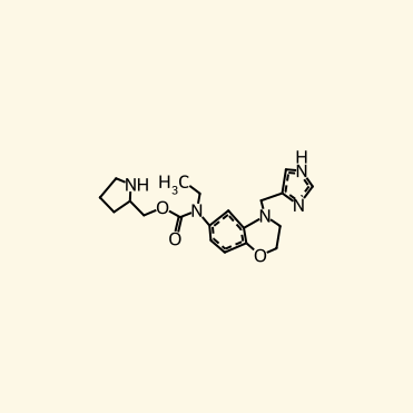 CCN(C(=O)OCC1CCCN1)c1ccc2c(c1)N(Cc1c[nH]cn1)CCO2